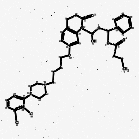 CCCC(=O)OC(OC(O)N1C(=O)CCc2ccc(OCCCCN3CCN(c4cccc(Cl)c4Cl)CC3)cc21)c1ccccc1